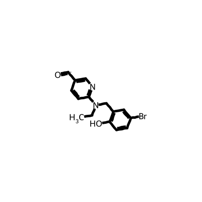 CCN(Cc1cc(Br)ccc1O)c1ccc([C]=O)cn1